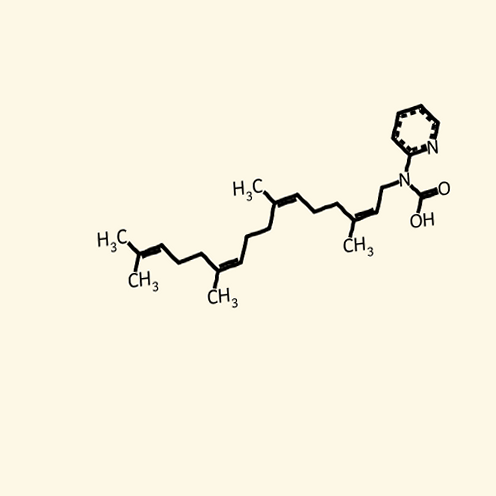 CC(C)=CCCC(C)=CCCC(C)=CCCC(C)=CCN(C(=O)O)c1ccccn1